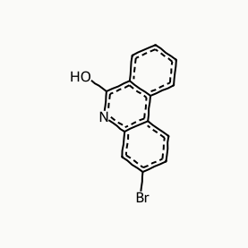 Oc1nc2cc(Br)ccc2c2ccccc12